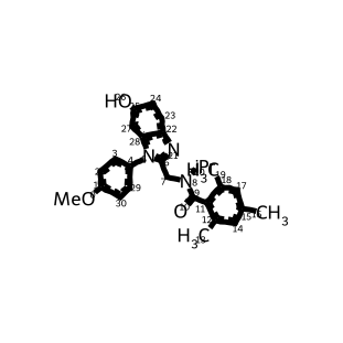 COc1ccc(-n2c(CN(C(=O)c3c(C)cc(C)cc3C)C(C)C)nc3ccc(O)cc32)cc1